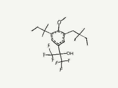 CCC(C)(C)Cc1cc(C(O)(C(F)(F)F)C(F)(F)F)cc(C(C)(C)CC)c1OC